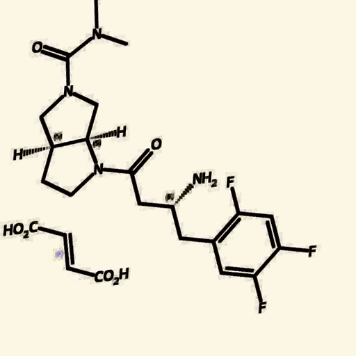 CN(C)C(=O)N1C[C@@H]2CCN(C(=O)C[C@H](N)Cc3cc(F)c(F)cc3F)[C@@H]2C1.O=C(O)/C=C/C(=O)O